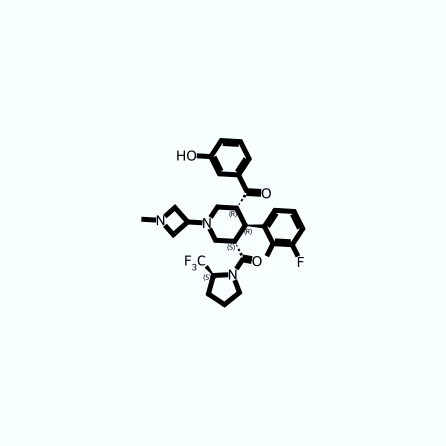 Cc1c(F)cccc1[C@@H]1[C@@H](C(=O)c2cccc(O)c2)CN(C2CN(C)C2)C[C@H]1C(=O)N1CCC[C@H]1C(F)(F)F